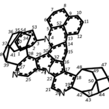 c1ccc(-n2c3cccc4cccc(c5cc6c7c8c(ncc7n7c9cnc%10c(c9c(c52)c67)C2CC5CC(CC%10C5)C2)C2CC5CC6CC8CC56C2)c43)cc1